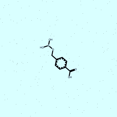 O=C(O)c1ccc(COB(O)O)cc1